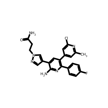 Cc1cc(-c2cc(-c3cnn(CCC(N)=O)c3)c(N)nc2-c2ccc(F)cc2)cc(Cl)n1